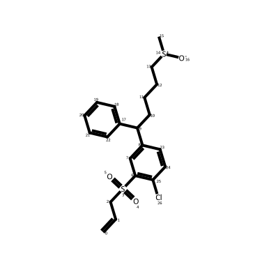 C=CCS(=O)(=O)c1cc(C(CCCC[S+](C)[O-])c2ccccc2)ccc1Cl